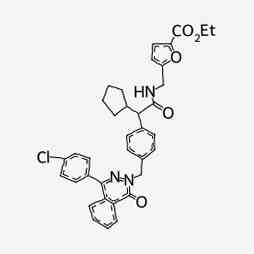 CCOC(=O)c1ccc(CNC(=O)C(c2ccc(Cn3nc(-c4ccc(Cl)cc4)c4ccccc4c3=O)cc2)C2CCCC2)o1